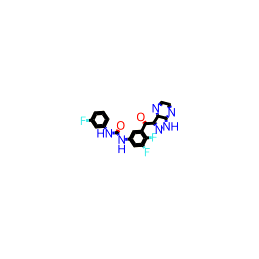 O=C(Nc1cccc(F)c1)Nc1cc(F)c(F)c(C(=O)C2=NNC3N=CC=NC23)c1